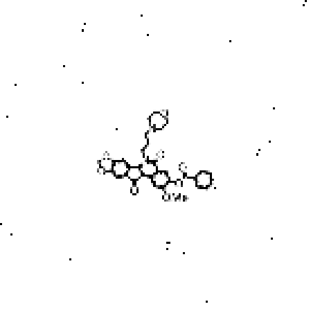 COc1cc2c3c(n(CCCN4CCOCC4)c(=O)c2cc1OC(=O)c1ccccc1)-c1cc2c(cc1C3=O)OCO2